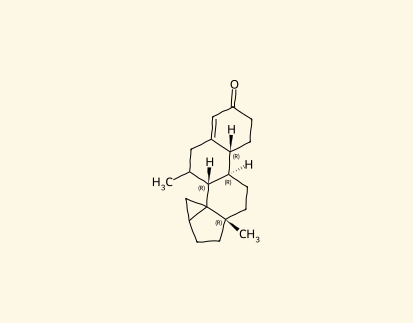 CC1CC2=CC(=O)CC[C@@H]2[C@H]2CC[C@]3(C)CCC4CC43[C@H]12